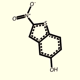 O=[N+]([O-])c1cc2cc(O)ccc2s1